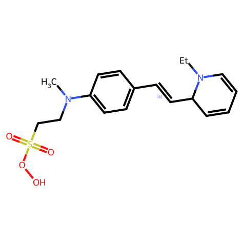 CCN1C=CC=CC1/C=C/c1ccc(N(C)CCS(=O)(=O)OO)cc1